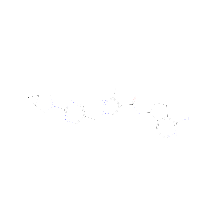 Nc1nccc2c1CCC2NC(=O)c1cn(Cc2cnc(N3CC4CC4C3)nc2)nc1C(F)(F)F